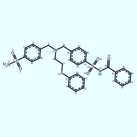 NS(=O)(=O)c1ccc(CN(CCSc2ccccc2)Cc2ccc(S(=O)(=O)NC(=O)c3ccccc3)cc2)cc1